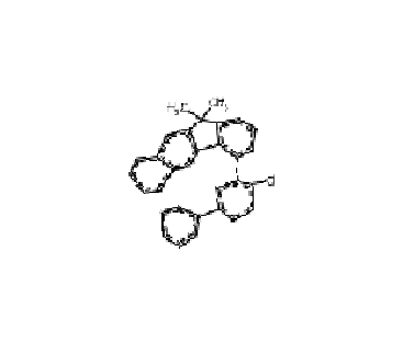 CC1(C)c2cc3ccccc3cc2-c2c(-c3cc(-c4ccccc4)ccc3Cl)cccc21